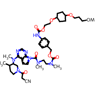 COCCCOC1CCC(OCCOC(=O)Nc2ccc(COC(=O)N(C)CCN(C)C(=O)n3ccc4c(N(C)C5CN(C(=O)CC#N)CCC5C)ncnc43)cc2)CC1